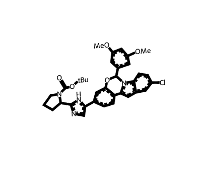 COc1cc(OC)cc(C2Oc3cc(-c4cnc(C5CCCN5C(=O)OC(C)(C)C)[nH]4)ccc3-c3cc4cc(Cl)ccc4n32)c1